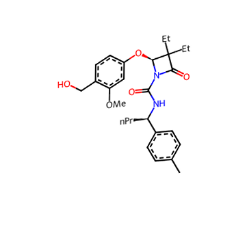 CCC[C@@H](NC(=O)N1C(=O)C(CC)(CC)[C@@H]1Oc1ccc(CO)c(OC)c1)c1ccc(C)cc1